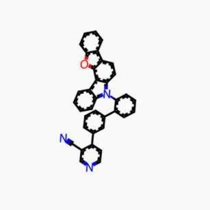 N#Cc1cnccc1-c1cccc(-c2ccccc2-n2c3ccccc3c3c4oc5ccccc5c4ccc32)c1